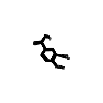 CNc1ccc(C(N)=O)cc1[N+](=O)[O-]